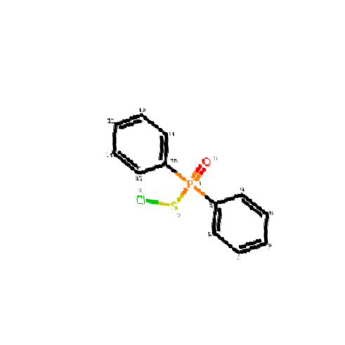 O=P(SCl)(c1ccccc1)c1ccccc1